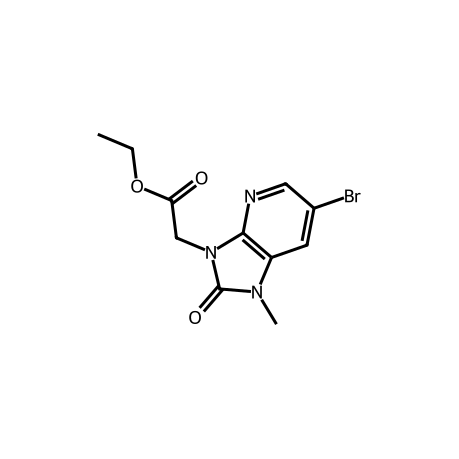 CCOC(=O)Cn1c(=O)n(C)c2cc(Br)cnc21